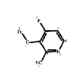 CC(C)Oc1c(F)ccnc1C#N